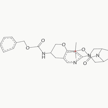 CC(C)(C)OC(=O)N1C2CCC1CN(c1cc3c(cn1)CC(NC(=O)OCc1ccccc1)CO3)C2